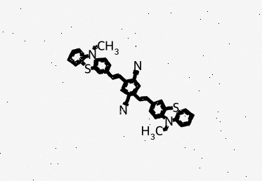 CCN1c2ccccc2Sc2cc(/C=C/c3cc(C#N)c(/C=C/c4ccc5c(c4)Sc4ccccc4N5CC)cc3C#N)ccc21